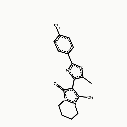 Cc1sc(-c2ccc(C(F)(F)F)cc2)nc1-c1c(O)n2n(c1=O)CCCC2